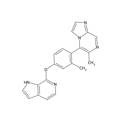 Cc1cc(Oc2nccc3cc[nH]c23)ccc1-c1c(C)ncc2nccn12